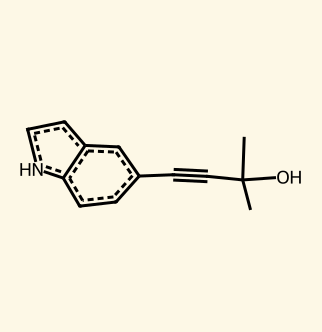 CC(C)(O)C#Cc1ccc2[nH]ccc2c1